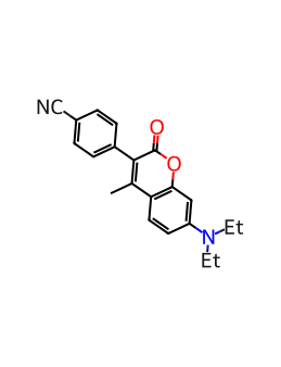 CCN(CC)c1ccc2c(C)c(-c3ccc(C#N)cc3)c(=O)oc2c1